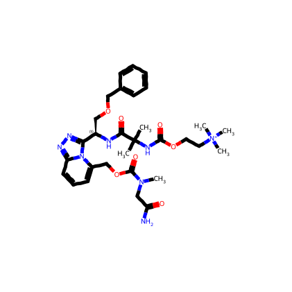 CN(CC(N)=O)C(=O)OCc1cccc2nnc([C@@H](COCc3ccccc3)NC(=O)C(C)(C)NC(=O)OCC[N+](C)(C)C)n12